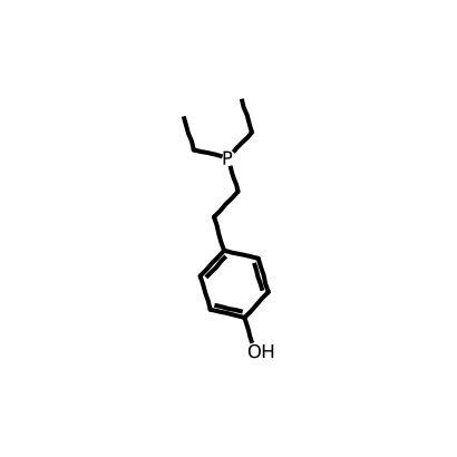 CCP(CC)CCc1ccc(O)cc1